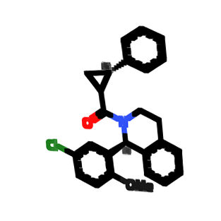 COc1ccc(Cl)cc1[C@@H]1c2ccccc2CCN1C(=O)C1C[C@@H]1c1ccccc1